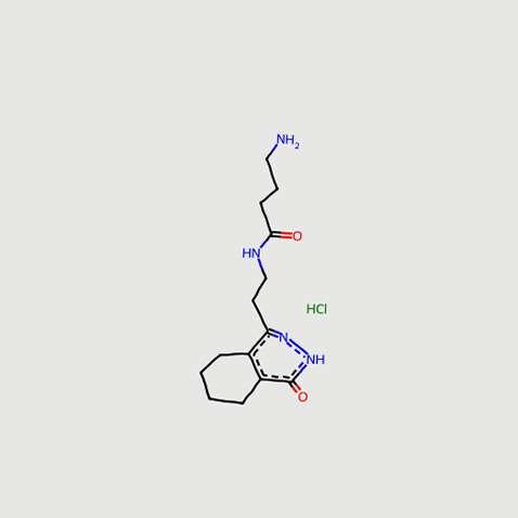 Cl.NCCCC(=O)NCCc1n[nH]c(=O)c2c1CCCC2